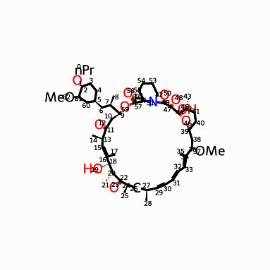 CCCO[C@@H]1CC[C@@H](C[C@@H](C)[C@@H]2CC(=O)[C@H](C)/C=C(\C)[C@@H](O)[C@@H](C)C(=O)[C@H](C)C[C@H](C)/C=C/C=C/C=C(\C)[C@@H](OC)CC3CC[C@@H](C)[C@@](O)(O3)C(=O)C(=O)N3CCCC[C@H]3C(=O)O2)C[C@H]1OC